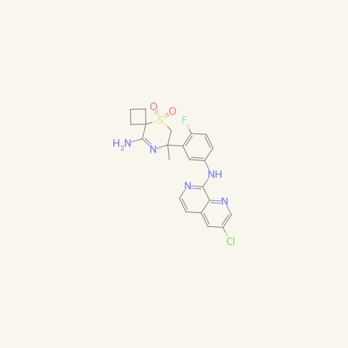 CC1(c2cc(Nc3nccc4cc(Cl)cnc34)ccc2F)CS(=O)(=O)C2(CCC2)C(N)=N1